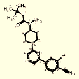 CN(C(=O)OC(C)(C)C)C1CCN(c2cncc(-c3ccc(C#N)c(F)c3)n2)CC1